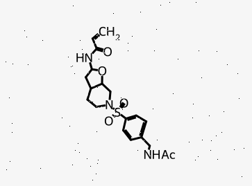 C=CC(=O)NC1CC2CCN(S(=O)(=O)c3ccc(CNC(C)=O)cc3)CC2O1